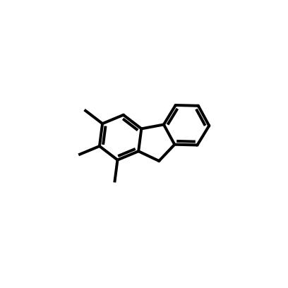 Cc1cc2c(c(C)c1C)Cc1ccccc1-2